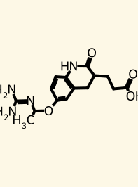 CC(N=C(N)N)Oc1ccc2c(c1)CC(CCC(=O)O)C(=O)N2